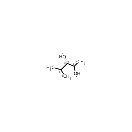 CC(C)[C@H](O)C(C)O